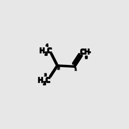 [CH]=CC(C)C